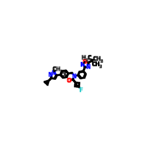 Cn1nc(C2CC2)cc1C12CCC(CN(C(=O)C34CC(F)(C3)C4)c3cccc(-c4noc(C(C)(C)C)n4)c3)(CC1)CC2